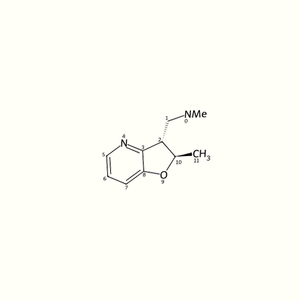 CNC[C@H]1c2ncccc2O[C@@H]1C